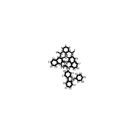 CC(C)c1cccc(C(C)C)c1B1c2cc3ccccc3c3nc4n(-c5ccc6c7ccccc7n(-c7ccccc7)c6c5)c5cccc6ccc1c(c65)n4c23